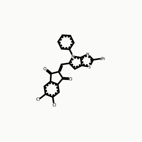 CC(C)c1nc2c(cc(C=C3C(=O)c4cc(Cl)c(Cl)cc4C3=O)n2-c2ccccc2)s1